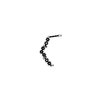 C#CC#CC#CC#COc1ccc(C2CCC(C(=O)Oc3ccc(-c4cccc(-c5ccc(OC(=O)C6CCC(c7ccc(O)cc7)CC6)cc5)c4)cc3)CC2)cc1